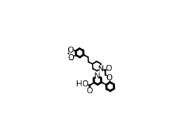 O=C(O)c1cncc(-c2ccccc2OCC(=O)N2CCC(CCc3ccc4c(c3)OCO4)CC2)c1